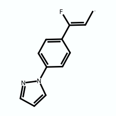 [CH2]/C=C(\F)c1ccc(-n2cccn2)cc1